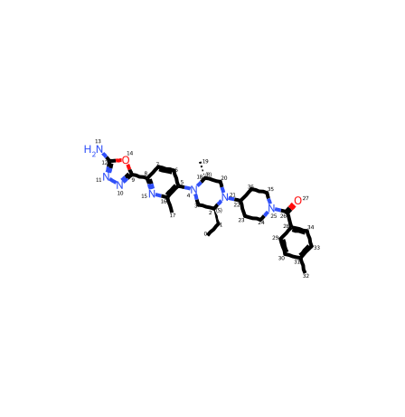 CC[C@H]1CN(c2ccc(-c3nnc(N)o3)nc2C)[C@H](C)CN1C1CCN(C(=O)c2ccc(C)cc2)CC1